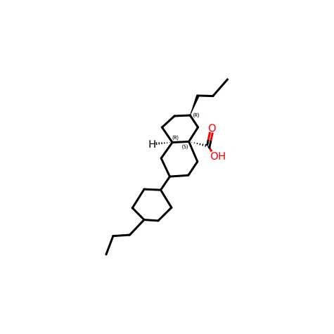 CCCC1CCC(C2CC[C@]3(C(=O)O)C[C@H](CCC)CC[C@@H]3C2)CC1